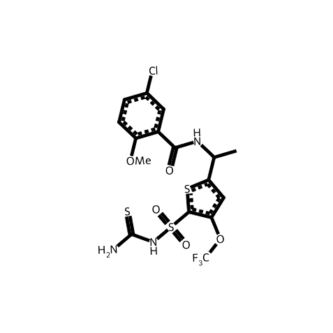 COc1ccc(Cl)cc1C(=O)NC(C)c1cc(OC(F)(F)F)c(S(=O)(=O)NC(N)=S)s1